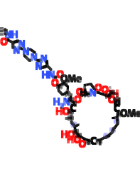 CCNC(=O)c1cnc(N2CCN(c3ncc(CNC(=O)O[C@@H]4CC[C@@H](C[C@@H](N)[C@@H]5C[C@@H](O)[C@H](C)/C=C(\C)[C@@H](O)[C@@H](O)C(=O)[C@H](C)C[C@H](C)/C=C/C=C/C=C(\C)[C@@H](OC)C[C@@H]6CC[C@@H](C)[C@@](O)(O6)C(=O)C(=O)N6CCCC[C@H]6C(=O)O5)C[C@H]4OC)cn3)CC2)nc1